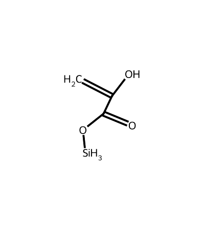 C=C(O)C(=O)O[SiH3]